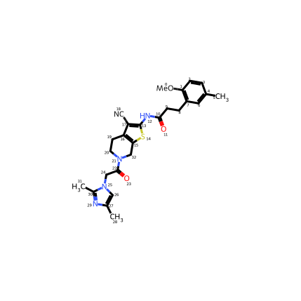 COc1ccc(C)cc1CCC(=O)Nc1sc2c(c1C#N)CCN(C(=O)Cn1cc(C)nc1C)C2